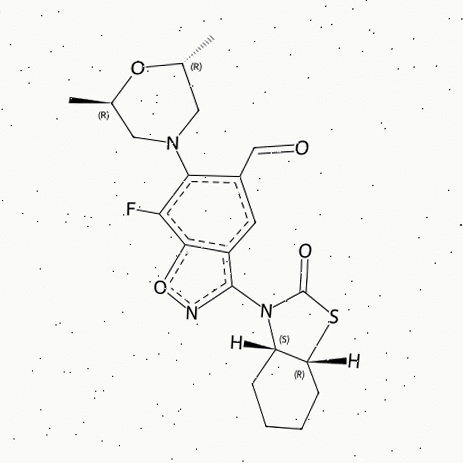 C[C@@H]1CN(c2c(C=O)cc3c(N4C(=O)S[C@@H]5CCCC[C@@H]54)noc3c2F)C[C@@H](C)O1